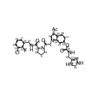 CC(=O)c1cn(CC(=O)N2CCC[C@H]2C(=O)NCc2cccc(Cl)c2F)c2cc(OC(=O)NCC3=NNCN3)ccc12